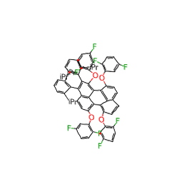 CC(C)c1cccc(C(C)C)c1-c1c(-c2c(C(C)C)cccc2C(C)C)c2ccc(Oc3cc(F)ccc3F)c3c4c(Oc5cc(F)ccc5F)ccc5ccc(Oc6cc(F)ccc6F)c(c(c1Oc1cc(F)ccc1F)c23)c54